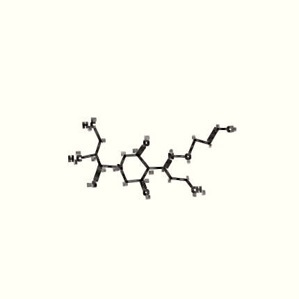 CCCC(=NOC/C=C/Cl)C1C(=O)CN(C(=S)C(C)CC)CC1=O